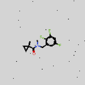 CN(Cc1cc(F)cc(F)c1F)C(=O)C1(C)CC1